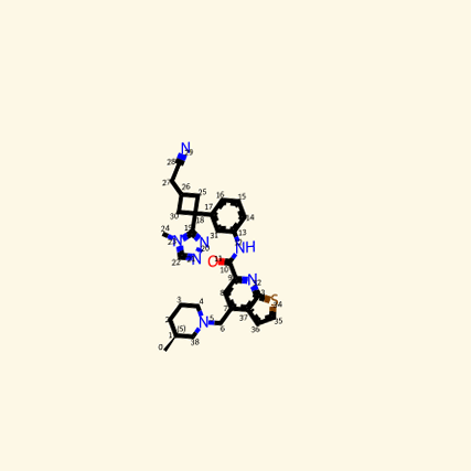 C[C@H]1CCCN(Cc2cc(C(=O)Nc3cccc(C4(c5nncn5C)CC(CC#N)C4)c3)nc3sccc23)C1